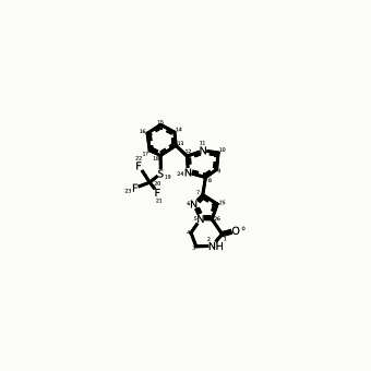 O=C1NCCn2nc(-c3ccnc(-c4ccccc4SC(F)(F)F)n3)cc21